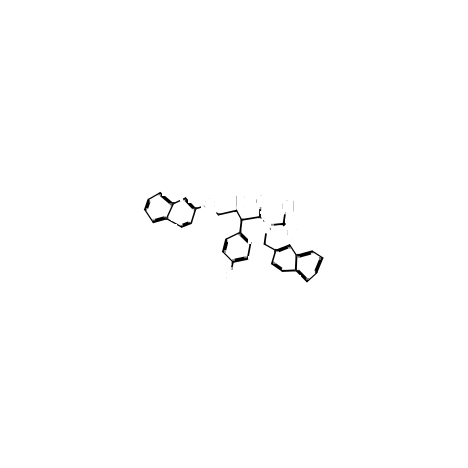 [CH2]C(=O)N(Cc1ccc2ccccc2c1)C(C)C(CCOc1ccc2ccccc2c1)c1ccc(Cl)cc1